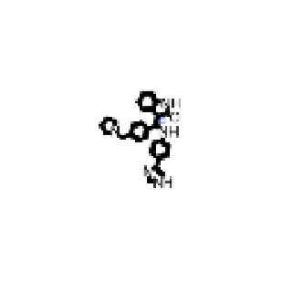 O=C1Nc2ccccc2/C1=C(/Nc1ccc(-c2c[nH]cn2)cc1)c1ccc(CN2CCCC2)cc1